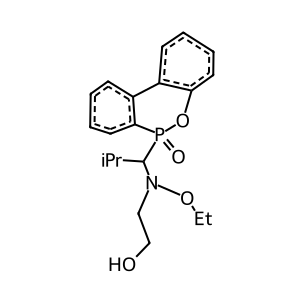 CCON(CCO)C(C(C)C)P1(=O)Oc2ccccc2-c2ccccc21